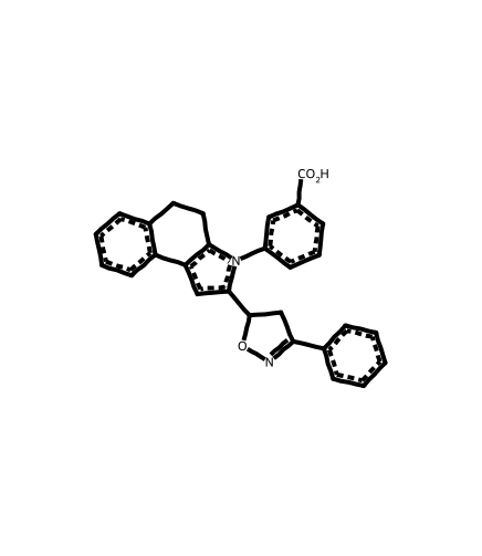 O=C(O)c1cccc(-n2c(C3CC(c4ccccc4)=NO3)cc3c2CCc2ccccc2-3)c1